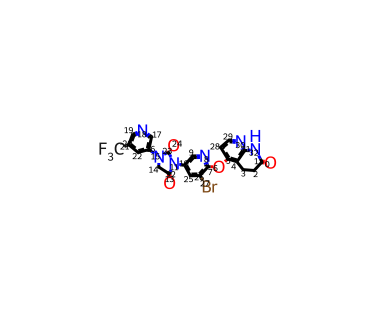 O=C1CCc2c(Oc3ncc(N4C(=O)CN(c5cncc(C(F)(F)F)c5)C4=O)cc3Br)ccnc2N1